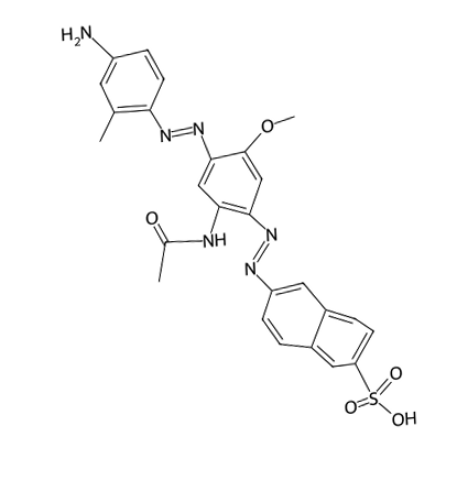 COc1cc(N=Nc2ccc3cc(S(=O)(=O)O)ccc3c2)c(NC(C)=O)cc1N=Nc1ccc(N)cc1C